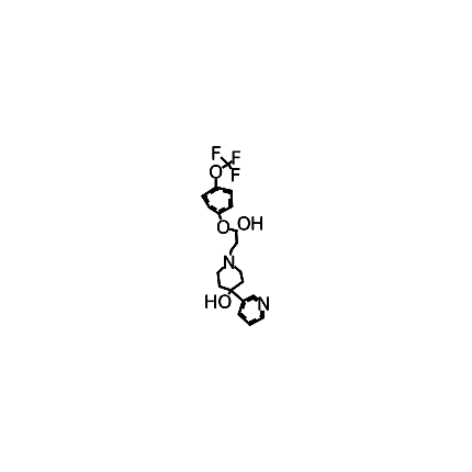 O[C@H](CCN1CCC(O)(c2cccnc2)CC1)Oc1ccc(OC(F)(F)F)cc1